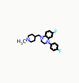 CN1CCC(CN2CCN(c3ccc(F)cc3)c3cc(F)ccc32)CC1